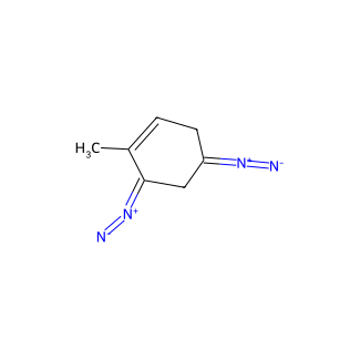 CC1=CCC(=[N+]=[N-])CC1=[N+]=[N-]